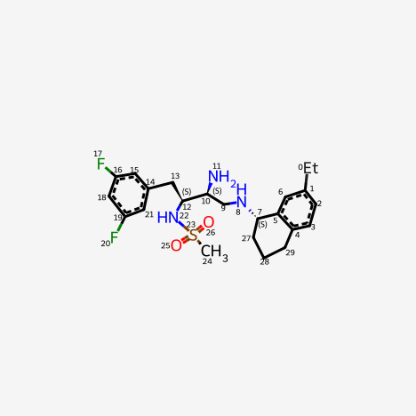 CCc1ccc2c(c1)[C@@H](NC[C@H](N)[C@H](Cc1cc(F)cc(F)c1)NS(C)(=O)=O)CCC2